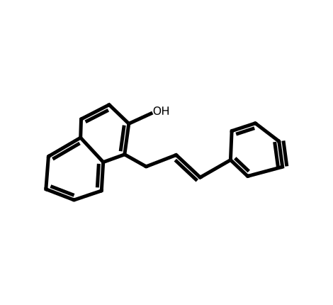 Oc1ccc2ccccc2c1C/C=C/c1cc#ccc1